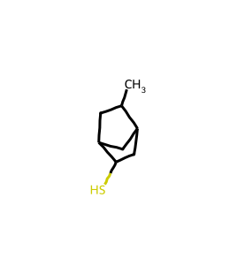 CC1CC2CC1CC2S